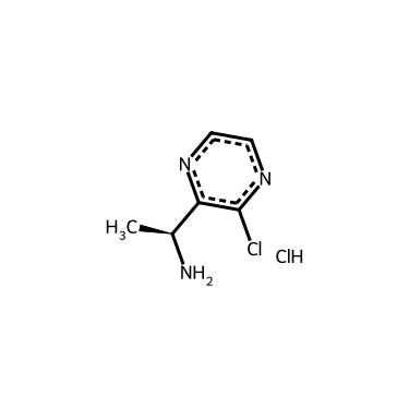 C[C@H](N)c1nccnc1Cl.Cl